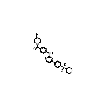 O=C(c1ccc(Nc2nccc(-c3ccc(S(=O)(=O)C4CCOCC4)cc3)n2)cc1)N1CCNCC1